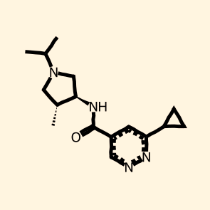 CC(C)N1C[C@@H](C)[C@H](NC(=O)c2cnnc(C3CC3)c2)C1